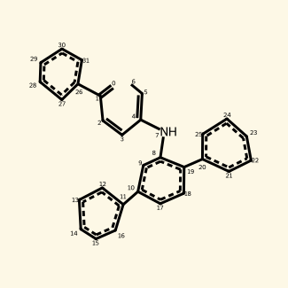 C=C(/C=C\C(=C/C)Nc1cc(-c2ccccc2)ccc1-c1ccccc1)c1ccccc1